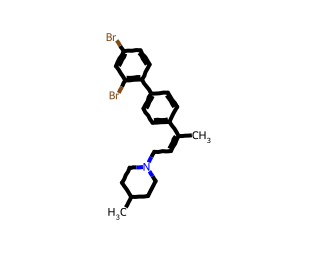 C/C(=C/CN1CCC(C)CC1)c1ccc(-c2ccc(Br)cc2Br)cc1